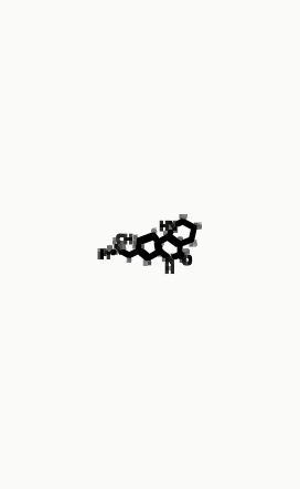 CC(C)N(C)Cc1ccc2c3c(c(=O)[nH]c2c1)CCCN3